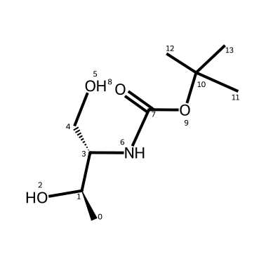 C[C@@H](O)[C@H](CO)NC(=O)OC(C)(C)C